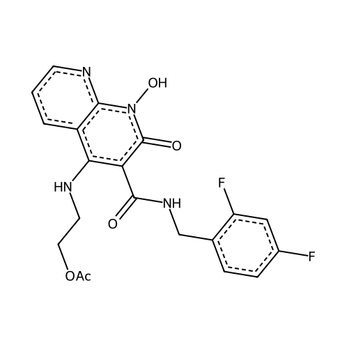 CC(=O)OCCNc1c(C(=O)NCc2ccc(F)cc2F)c(=O)n(O)c2ncccc12